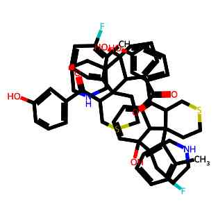 Cc1c(F)cccc1C1(C2C(C(=O)C3=CC=CC(O)(C4CCCNC4)C3C3(c4cccc(F)c4C)CCSCC3C(=O)c3cccc(O)c3)=CC=CC2(O)C2CCCNC2)CCSCC1C(=O)c1cccc(O)c1